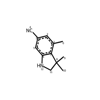 Cc1cc(C#N)cc2c1C(C)(C)CN2